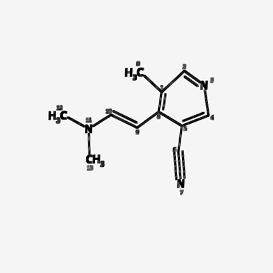 Cc1cncc(C#N)c1/C=C/N(C)C